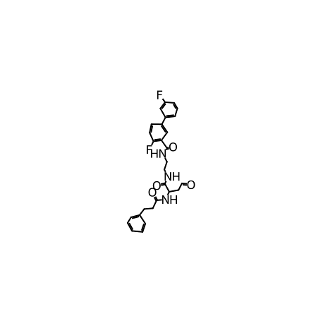 O=CCC(NC(=O)CCc1ccccc1)C(=O)NCCNC(=O)c1cc(-c2cccc(F)c2)ccc1F